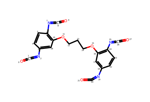 O=C=Nc1ccc(N=C=O)c(OCCCOc2cc(N=C=O)ccc2N=C=O)c1